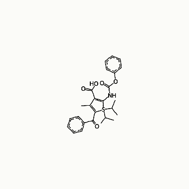 CC1=C(C(=O)c2ccccc2)S(C(C)C)(C(C)C)C(NC(=O)Oc2ccccc2)=C1C(=O)O